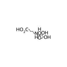 O=C(O)CCCCNCC1(O)OC[C@@H](O)[C@H]1O